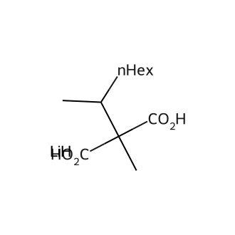 CCCCCCC(C)C(C)(C(=O)O)C(=O)O.[LiH]